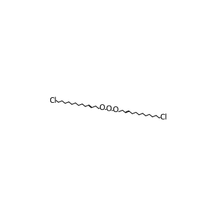 ClCCCCCCCCCC=CCCOCOCOCCC=CCCCCCCCCCCl